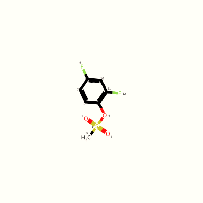 CS(=O)(=O)Oc1[c]cc(F)cc1F